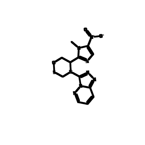 Cn1c([N+](=O)[O-])cnc1C1COSCN1c1nnc2cccnn12